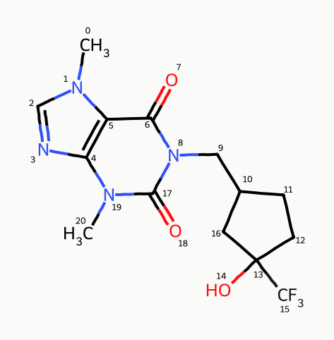 Cn1cnc2c1c(=O)n(CC1CCC(O)(C(F)(F)F)C1)c(=O)n2C